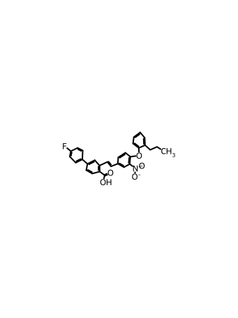 CCCc1ccccc1Oc1ccc(C=Cc2cc(-c3ccc(F)cc3)ccc2C(=O)O)cc1[N+](=O)[O-]